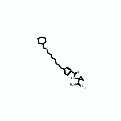 C=C(N)C1(NC(=O)c2ccc(CCCCCCCOCC3CCCCC3)cc2)CC1